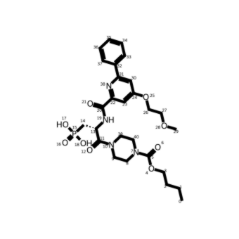 CCCCOC(=O)N1CCN(C(=O)[C@H](CP(=O)(O)O)NC(=O)c2cc(OCCOC)cc(-c3ccccc3)n2)CC1